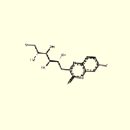 O=c1[nH]c2cc(F)ccc2nc1C[C@@H](O)[C@@H](O)C(O)[C@H](O)CO